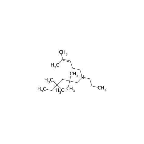 CCCN(CCC=C(C)C)CC(C)(C)CC(C)(C)CC